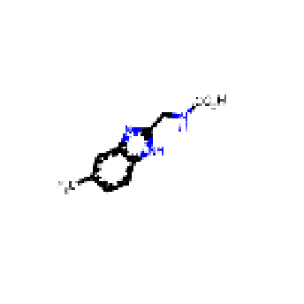 O=C(O)NCc1nc2cc(C(F)(F)F)ccc2[nH]1